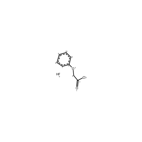 F.O=C(Cl)COc1ccccc1